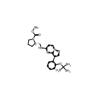 BC(B)(B)Oc1ccccc1-c1cnn2ccc(NC[C@@H]3CCCN3C(=O)OC(C)(C)C)nc12